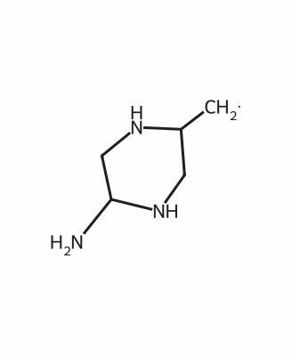 [CH2]C1CNC(N)CN1